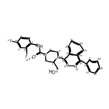 CC1CN(C(=O)Nc2ccc(F)cc2F)CCN1c1nnc(-c2ccccc2)c2ccccc12.Cl